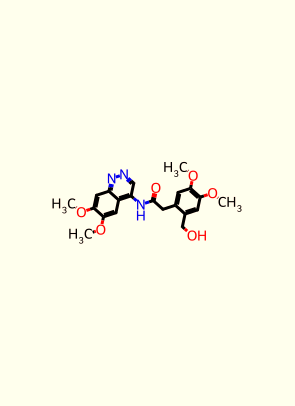 COc1cc(CO)c(CC(=O)Nc2cnnc3cc(OC)c(OC)cc23)cc1OC